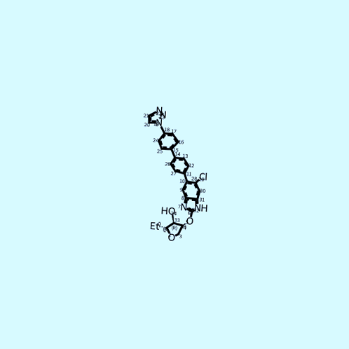 CC[C@H]1OC[C@@H](Oc2nc3cc(-c4ccc(-c5ccc(-n6ccnn6)cc5)cc4)c(Cl)cc3[nH]2)[C@@H]1O